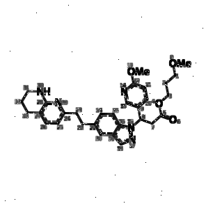 COCCCOC(=O)CC(c1ccc(OC)nc1)n1ncc2cc(CCc3ccc4c(n3)NCCC4)ccc21